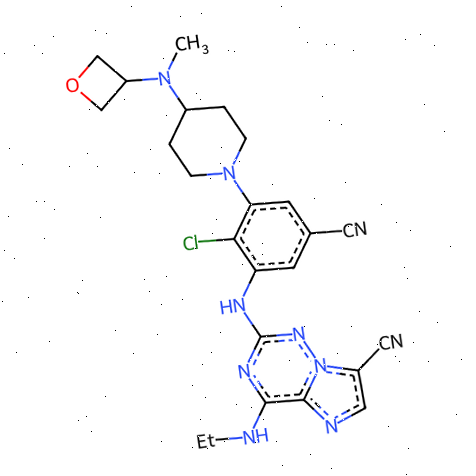 CCNc1nc(Nc2cc(C#N)cc(N3CCC(N(C)C4COC4)CC3)c2Cl)nn2c(C#N)cnc12